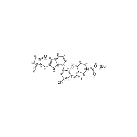 Cc1cc(Cl)cc(-c2ccnc3cc(CN4C(=O)CCC4=O)sc23)c1OC1CCN(C(=O)OC(C)(C)C)CC1